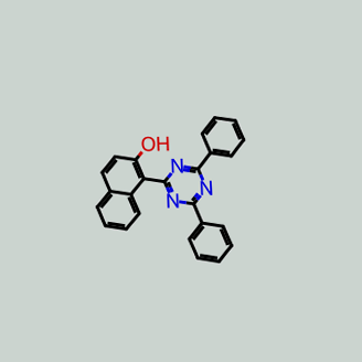 Oc1ccc2ccccc2c1-c1nc(-c2ccccc2)nc(-c2ccccc2)n1